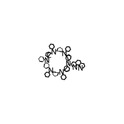 C1=CC2CC(=C1)N(c1ccccc1)C1=CC(=CCC1)N(c1ccccc1)c1cccc(c1)N(c1cnc3c(ccc4cccnc43)c1)c1cccc(c1)N(c1ccccc1)C1=CC(=CCC1)N(c1ccccc1)c1cccc(c1)N2C1=CCCC=C1